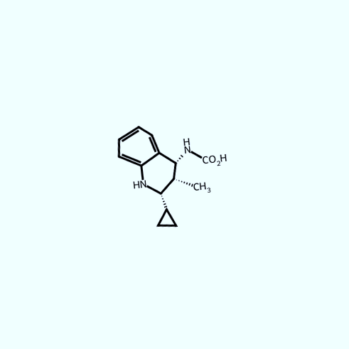 C[C@H]1[C@@H](NC(=O)O)c2ccccc2N[C@H]1C1CC1